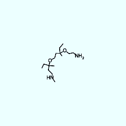 CCC(C)(CCNC)OCCC(C)(CC)OCCN